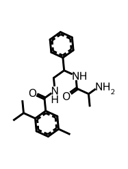 Cc1ccc(C(C)C)c(C(=O)NCC(NC(=O)C(C)N)c2ccccc2)c1